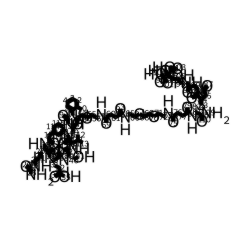 Cc1ccccc1NC(=O)Nc1ccc(CC(=O)N[C@@H](CCCNC(N)=O)C(=O)N[C@@H](CCC(=O)O)C(=O)N[C@@H](CO)C(=O)N[C@H](C(=O)NCCOCCOCCNC(=O)CCC(=O)NCCOCCOCCNC(=O)CCC(=O)N[C@H](CSC2CC(=O)N(CC(=O)NCCCC(O)(P(=O)(O)O)P(=O)(O)O)C2=O)C(N)=O)C(C)C)cc1